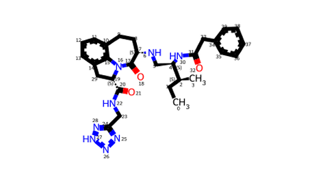 CC[C@H](C)[C@@H](CN[C@H]1CCc2cccc3c2N(C1=O)[C@H](C(=O)NCc1nn[nH]n1)C3)NC(=O)Cc1ccccc1